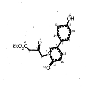 CCOC(=O)CC(=O)Cn1cc(-c2ccc(O)cc2)ccc1=O